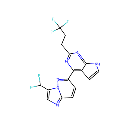 FC(F)c1cnc2ccc(-c3nc(CCC(F)(F)F)nc4[nH]ccc34)nn12